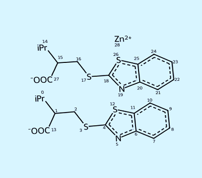 CC(C)C(CSc1nc2ccccc2s1)C(=O)[O-].CC(C)C(CSc1nc2ccccc2s1)C(=O)[O-].[Zn+2]